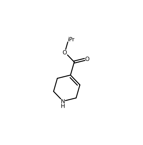 CC(C)OC(=O)C1=CCNCC1